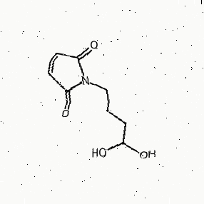 O=C1C=CC(=O)N1CCCC(O)O